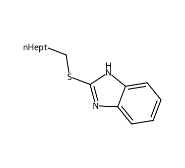 CCCCCCCCSc1nc2ccccc2[nH]1